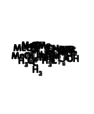 CCO[C@@]1(N)[C@@H](O)CC[C@]2(C)[C@@]3(N)CC=C4[C@]5(N)CC(C)(C)[C@@H](OC)[C@H](OC)[C@]5(COC)[C@H](OC)CC[C@@]4(C)[C@]3(C)CC[C@]21N